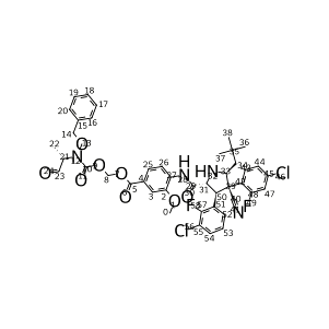 COc1cc(C(=O)OCOC(=O)N(OCc2ccccc2)[C@@H](C)C=O)ccc1NC(=O)[C@@H]1N[C@@H](CC(C)(C)C)[C@](C#N)(c2ccc(Cl)cc2F)[C@H]1c1cccc(Cl)c1F